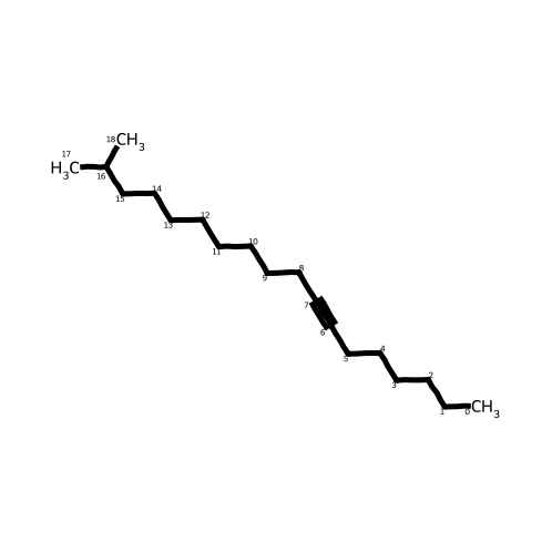 CCCCCCC#CCCCCCCCCC(C)C